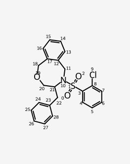 O=S(=O)(c1ccccc1Cl)N1Cc2ccccc2COCC1Cc1ccccc1